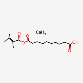 CC(C)=C(C)C(=O)OC(=O)CCCCCCCCC(=O)O.[CaH2]